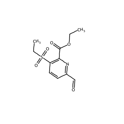 CCOC(=O)c1nc(C=O)ccc1S(=O)(=O)CC